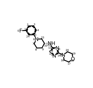 Fc1cccc(N2CCC[C@@H](Nc3nc(N4CCOCC4)ns3)C2)c1